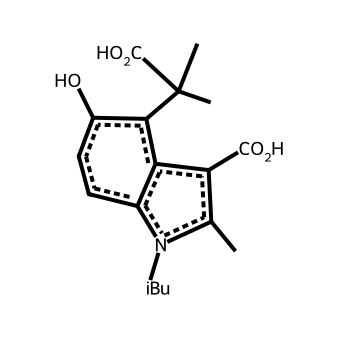 CCC(C)n1c(C)c(C(=O)O)c2c(C(C)(C)C(=O)O)c(O)ccc21